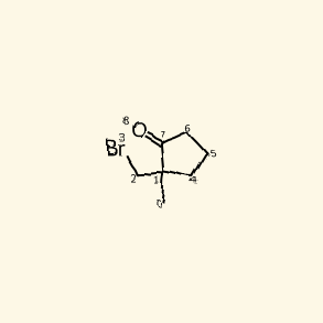 CC1(CBr)CCCC1=O